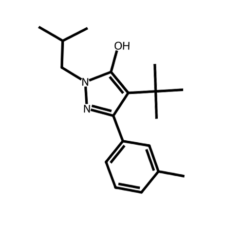 Cc1cccc(-c2nn(CC(C)C)c(O)c2C(C)(C)C)c1